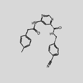 Cc1ccc(CC(=O)Nc2cc(C(=O)NCc3ccc(C#N)cc3)ncn2)cc1